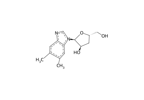 Cc1cc2ncn([C@H]3O[C@H](CO)C[C@H]3O)c2cc1C